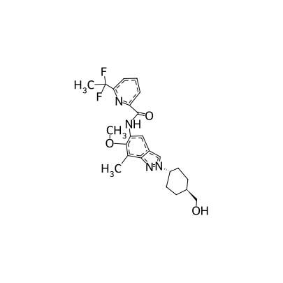 COc1c(NC(=O)c2cccc(C(C)(F)F)n2)cc2cn([C@H]3CC[C@H](CO)CC3)nc2c1C